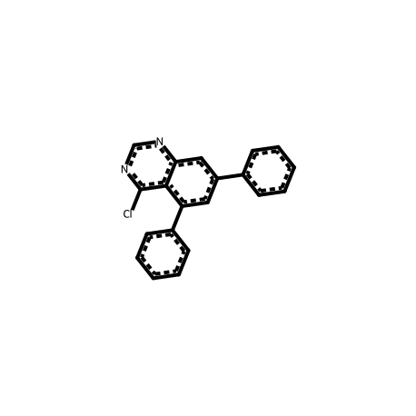 Clc1ncnc2cc(-c3ccccc3)cc(-c3ccccc3)c12